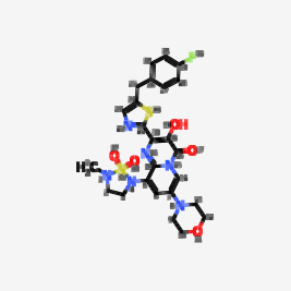 CN1CCN(c2cc(N3CCOCC3)cn3c(=O)c(O)c(-c4ncc(Cc5ccc(F)cc5)s4)nc23)S1(=O)=O